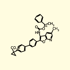 Cc1cnc2oc(-c3ccc(-c4ccc(C5(C(=O)O)CC5)cc4)cc3)c(NC(=O)O[C@H](C)c3ccccc3)c2c1